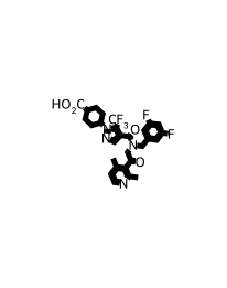 Cc1ccnc(C)c1C(=O)CN(Cc1cc(F)cc(F)c1)C(=O)c1cnn(C2CCC(C(=O)O)CC2)c1C(F)(F)F